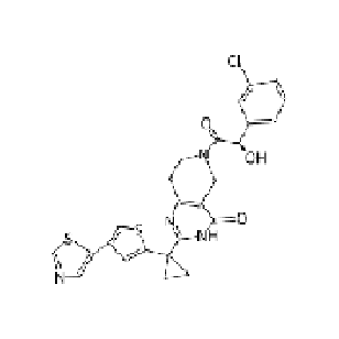 O=C([C@H](O)c1cccc(Cl)c1)N1CCc2nc(C3(c4cc(-c5cncs5)cs4)CC3)[nH]c(=O)c2C1